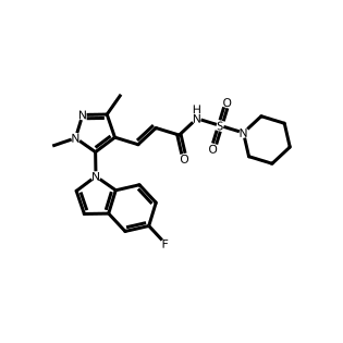 Cc1nn(C)c(-n2ccc3cc(F)ccc32)c1/C=C/C(=O)NS(=O)(=O)N1CCCCC1